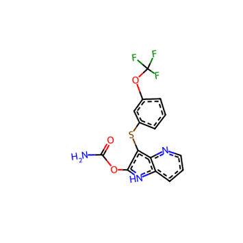 NC(=O)Oc1[nH]c2cccnc2c1Sc1cccc(OC(F)(F)F)c1